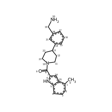 Cc1cccc2[nH]c(C(=O)N3CCC(c4cccc(CN)c4)CC3)cc12